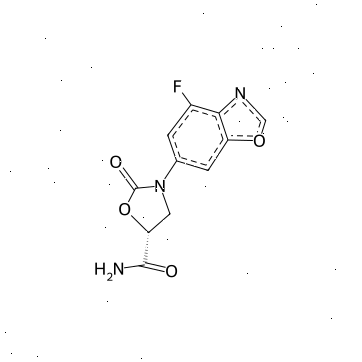 NC(=O)[C@H]1CN(c2cc(F)c3ncoc3c2)C(=O)O1